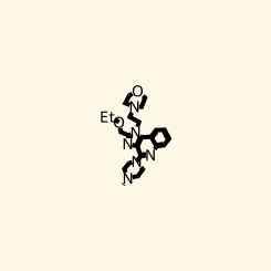 CCOCc1nc2c(N3CCN(C)CC3)nc3ccccc3c2n1CCN1CCOCC1